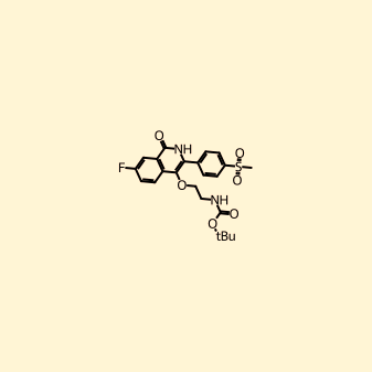 CC(C)(C)OC(=O)NCCOc1c(-c2ccc(S(C)(=O)=O)cc2)[nH]c(=O)c2cc(F)ccc12